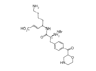 Br.NCCCCC(C=CC(=O)O)NC(=O)[C@@H](N)Cc1ccc(C(=O)C2CNCCO2)cc1